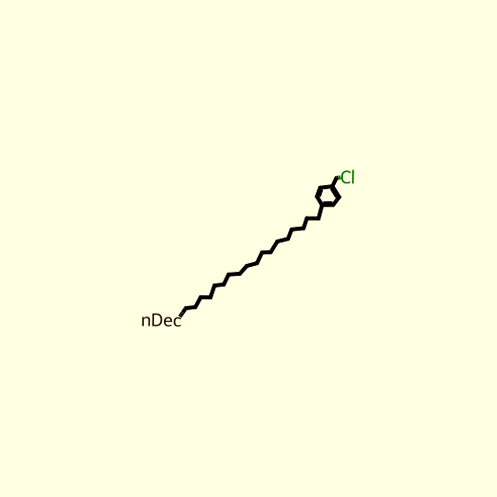 CCCCCCCCCCCCCCCCCCCCCCCCCCCCc1ccc(CCl)cc1